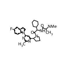 CNC(C)C(=O)NC(C(=O)N1CCCC1c1cc(-n2ccc3cc(F)ccc32)nc(C)n1)C1CCCCC1